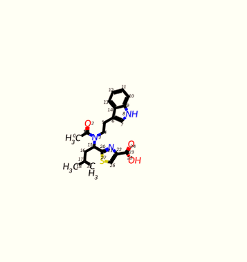 CC(=O)N(CCc1c[nH]c2ccccc12)C(CC(C)C)c1nc(C(=O)O)cs1